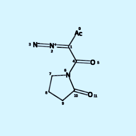 CC(=O)C(=[N+]=[N-])C(=O)N1CCCC1=O